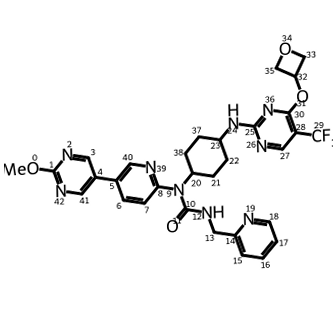 COc1ncc(-c2ccc(N(C(=O)NCc3ccccn3)C3CCC(Nc4ncc(C(F)(F)F)c(OC5COC5)n4)CC3)nc2)cn1